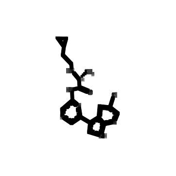 C[C@@H](NCCC1CC1)C(=O)Nc1cncc(-c2c[nH]c3ncc(Cl)cc23)n1